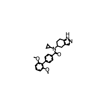 COc1cccc(OC)c1-c1ccc(C(=O)N(C2CC2)C2CCc3[nH]ncc3C2)cc1